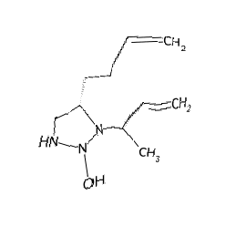 C=CCC[C@H]1CNN(O)N1C(C)C=C